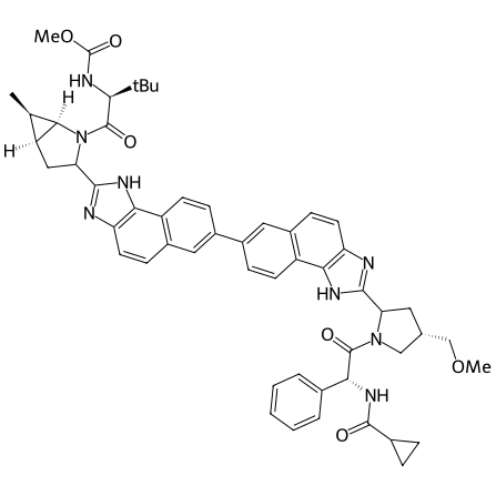 COC[C@H]1CC(c2nc3ccc4cc(-c5ccc6c(ccc7nc(C8C[C@H]9[C@@H](C)[C@H]9N8C(=O)[C@@H](NC(=O)OC)C(C)(C)C)[nH]c76)c5)ccc4c3[nH]2)N(C(=O)[C@H](NC(=O)C2CC2)c2ccccc2)C1